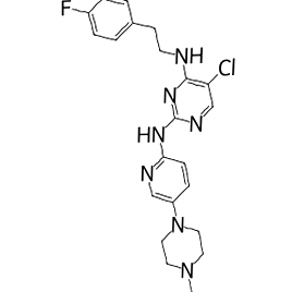 CN1CCN(c2ccc(Nc3ncc(Cl)c(NCCc4ccc(F)cc4)n3)nc2)CC1